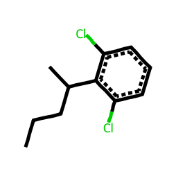 CCCC(C)c1c(Cl)cccc1Cl